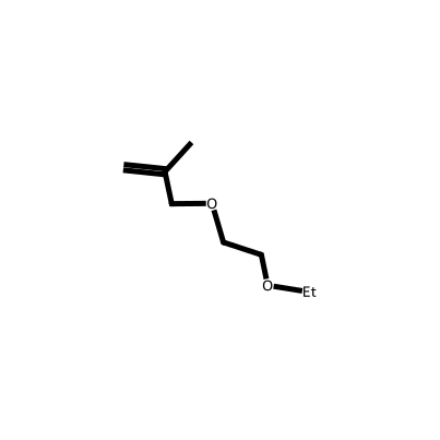 C=C(C)COCCOCC